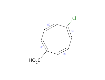 O=C(O)C1=C/C=C\C(Cl)=C/C=C\1